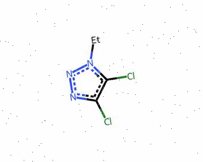 CCn1nnc(Cl)c1Cl